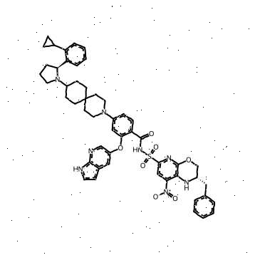 O=C(NS(=O)(=O)c1cc([N+](=O)[O-])c2c(n1)OC[C@H](Cc1ccccc1)N2)c1ccc(N2CCC3(CCC(N4CCC[C@H]4c4ccccc4C4CC4)CC3)CC2)cc1Oc1cnc2[nH]ccc2c1